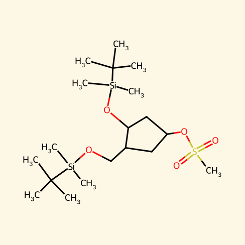 CC(C)(C)[Si](C)(C)OCC1CC(OS(C)(=O)=O)CC1O[Si](C)(C)C(C)(C)C